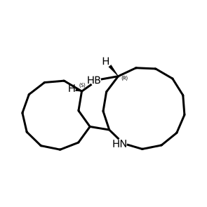 B1[C@@H]2CCCCCCCCNC(CC2)C2CCCCCCCC[C@H]1C2